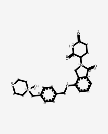 O=C1CCC(N2Cc3c(OCc4ccc(C[N+]5(O)CCOCC5)cc4)cccc3C2=O)C(=O)N1